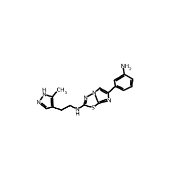 Cc1[nH]ncc1CCNc1nn2cc(-c3cccc(N)c3)nc2s1